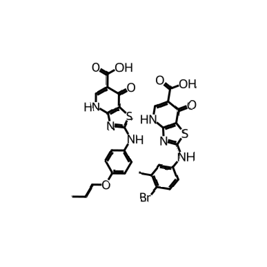 CCCOc1ccc(Nc2nc3[nH]cc(C(=O)O)c(=O)c3s2)cc1.Cc1cc(Nc2nc3[nH]cc(C(=O)O)c(=O)c3s2)ccc1Br